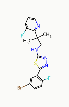 CC(C)(CNc1nnc(-c2cc(Br)ccc2F)s1)c1ncccc1F